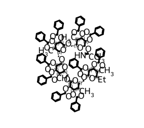 CC[C@H]1O[C@@H](OC[C@H]2O[C@@H](OC[C@H]3O[C@@H](OC[C@H]4O[C@@H](OC[C@H]5OC(OC(=N)C(Cl)(Cl)Cl)[C@H](OC(=O)c6ccccc6)[C@@H](OC(=O)c6ccccc6)[C@@H]5C)[C@H](OC(=O)c5ccccc5)[C@@H](OC(=O)c5ccccc5)[C@@H]4C)[C@H](OC(=O)c4ccccc4)[C@@H](OC(=O)c4ccccc4)[C@@H]3C)[C@H](OC(=O)c3ccccc3)[C@@H](OC(=O)c3ccccc3)[C@@H]2C)[C@H](OC(=O)c2ccccc2)[C@@H](OC(=O)c2ccccc2)[C@@H]1C